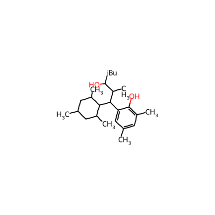 CCC(C)C(O)C(C)C(c1cc(C)cc(C)c1O)C1C(C)CC(C)CC1C